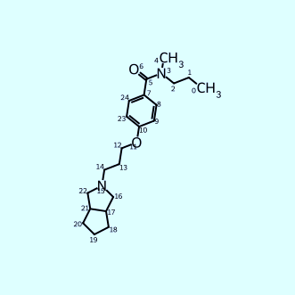 CCCN(C)C(=O)c1ccc(OCCCN2CC3CCCC3C2)cc1